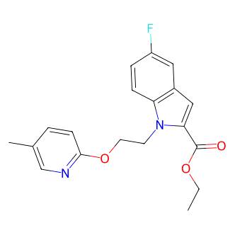 CCOC(=O)c1cc2cc(F)ccc2n1CCOc1ccc(C)cn1